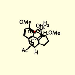 COc1ccc2c3c1O[C@@H]1[C@]34CCN(C(C)=O)[C@H](C2)[C@]42CC[C@@]1(OC)C([C@](C)(O)C(C)(C)C)C2